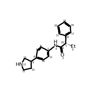 CC[C@H](C(=O)Nc1ccc(C2CCNC2)cc1)c1ccccc1